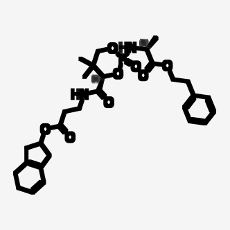 C[C@H](NP1(=O)OCC(C)(C)[C@H](C(=O)NCCC(=O)OC2CC3=C(CCC=C3)C2)O1)C(=O)OCCc1ccccc1